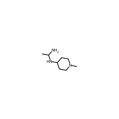 CC(N)NC1CCN(C)CC1